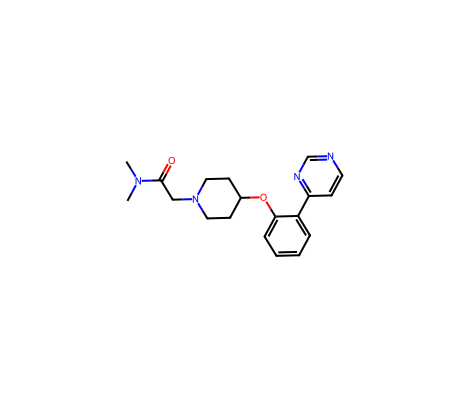 CN(C)C(=O)CN1CCC(Oc2ccccc2-c2ccncn2)CC1